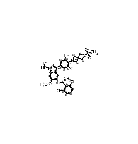 COc1cc2c(cc1O[C@H](C)c1c(Cl)cncc1Cl)c(-c1cc(F)c(N3CC4(C3)CN(S(C)(=O)=O)C4)c(F)c1)nn2PI